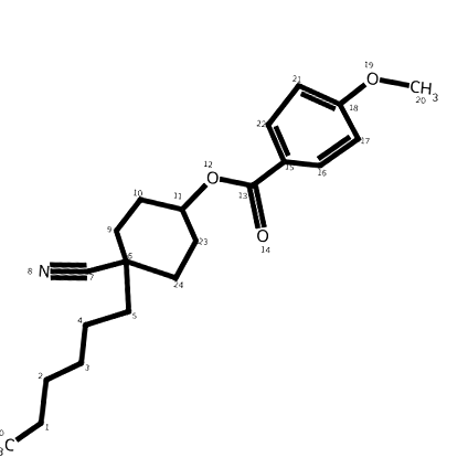 CCCCCCC1(C#N)CCC(OC(=O)c2ccc(OC)cc2)CC1